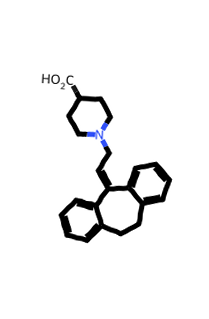 O=C(O)C1CCN(CC=C2c3ccccc3CCc3ccccc32)CC1